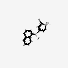 C[n+]1ccc(Oc2cccc3ccccc23)cc1F.[I-]